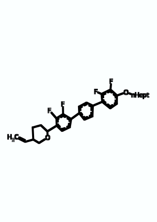 C=CC1CCC(c2ccc(-c3ccc(-c4ccc(OCCCCCCC)c(F)c4F)cc3)c(F)c2F)OC1